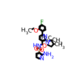 CCOc1cc(F)ccc1-c1ccc(C(=O)NS(=O)(=O)c2cccnc2N)c(N2CCC(C)C2(C)C)n1